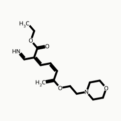 C=C(/C=C\C=C(\C=N)C(=O)OCC)OCCN1CCOCC1